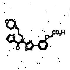 O=C(O)COc1cccc(-c2csc(N(CCCN3CCOCC3)C(=O)c3cccs3)n2)c1